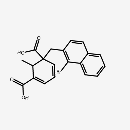 CC1C(C(=O)O)=CC=CC1(Cc1ccc2ccccc2c1Br)C(=O)O